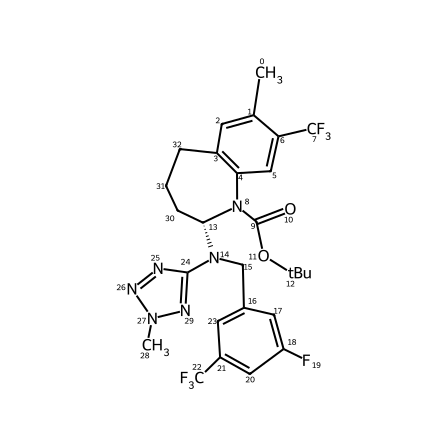 Cc1cc2c(cc1C(F)(F)F)N(C(=O)OC(C)(C)C)[C@H](N(Cc1cc(F)cc(C(F)(F)F)c1)c1nnn(C)n1)CCC2